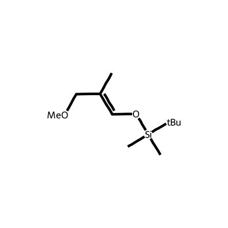 COCC(C)=CO[Si](C)(C)C(C)(C)C